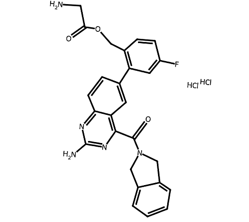 Cl.Cl.NCC(=O)OCc1ccc(F)cc1-c1ccc2nc(N)nc(C(=O)N3Cc4ccccc4C3)c2c1